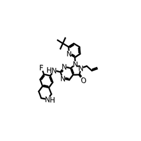 C=CCn1c(=O)c2cnc(Nc3cc4c(cc3F)CCNC4)nc2n1-c1cccc(C(C)(C)C)n1